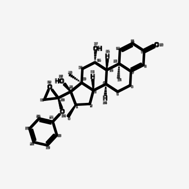 C[C@@H]1C[C@H]2[C@@H]3CCC4=CC(=O)C=C[C@]4(C)[C@H]3[C@@H](O)C[C@]2(C)[C@@]1(O)[C@]1(Oc2ccccc2)CO1